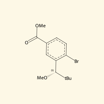 COC(=O)c1ccc(Br)c([C@@H](OC)C(C)(C)C)c1